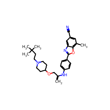 C=C(COC1CCN(CCC(C)(C)C)CC1)Nc1ccc(-c2nc3cc(C#N)cc(C)c3o2)cc1